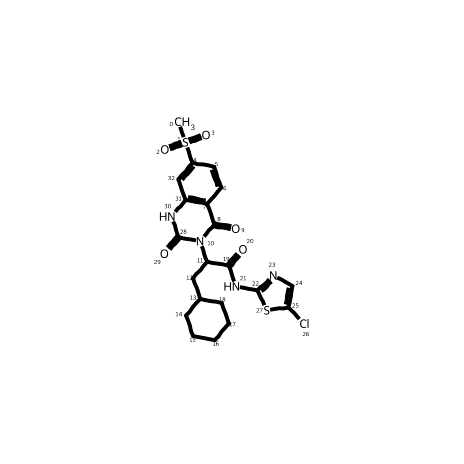 CS(=O)(=O)c1ccc2c(=O)n(C(CC3CCCCC3)C(=O)Nc3ncc(Cl)s3)c(=O)[nH]c2c1